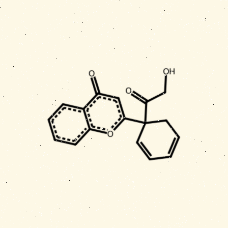 O=C(CO)C1(c2cc(=O)c3ccccc3o2)C=CC=CC1